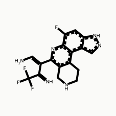 N=C(/C(=C\N)c1nc2c(F)cc3[nH]ncc3c2c2c1CNCC2)C(F)(F)F